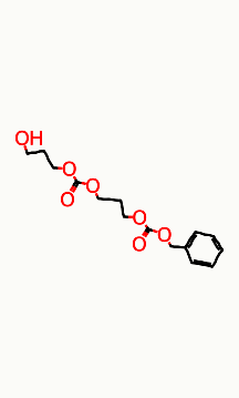 O=C(OCCCO)OCCCOC(=O)OCc1ccccc1